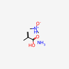 C=C(C)C(=O)O.C[NH+](C)[O-].N